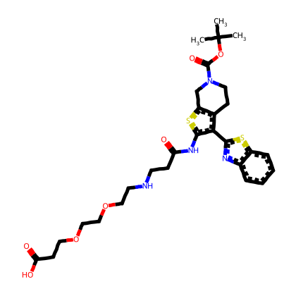 CC(C)(C)OC(=O)N1CCc2c(sc(NC(=O)CCNCCOCCOCCC(=O)O)c2-c2nc3ccccc3s2)C1